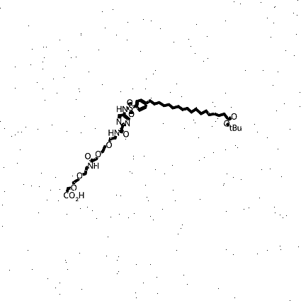 CC(C)(C)OC(=O)CCCCCCCCCCCCCCCCCc1ccc(S(=O)(=O)Nc2cnc(C(=O)NCCOCCOCC(=O)NCCOCCOCC(=O)O)nc2)cc1